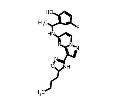 CCCCC1NC(c2cnn3ccc(NC(C)c4cc(F)ccc4O)nc23)=NO1